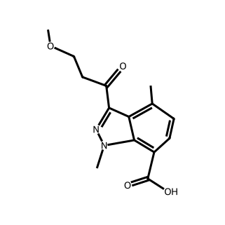 COCCC(=O)c1nn(C)c2c(C(=O)O)ccc(C)c12